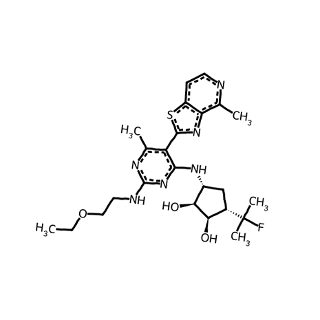 CCOCCNc1nc(C)c(-c2nc3c(C)nccc3s2)c(N[C@@H]2C[C@H](C(C)(C)F)[C@@H](O)[C@H]2O)n1